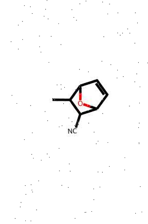 CC1C2C=CC(O2)C1C#N